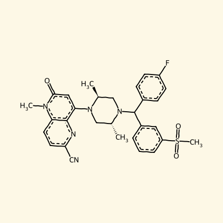 C[C@@H]1CN(c2cc(=O)n(C)c3ccc(C#N)nc23)[C@@H](C)CN1C(c1ccc(F)cc1)c1cccc(S(C)(=O)=O)c1